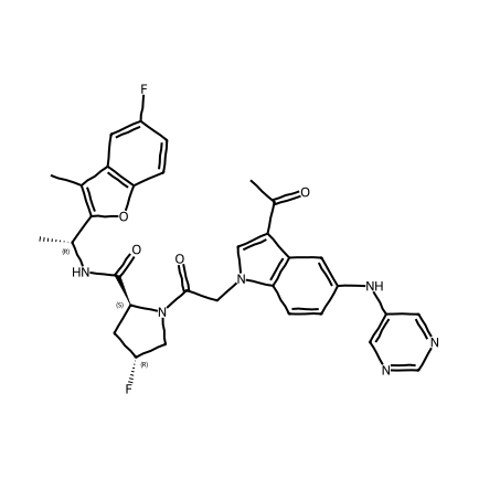 CC(=O)c1cn(CC(=O)N2C[C@H](F)C[C@H]2C(=O)N[C@H](C)c2oc3ccc(F)cc3c2C)c2ccc(Nc3cncnc3)cc12